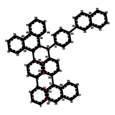 c1ccc(-c2ccc(-c3c(N(c4ccc(-c5ccc6ccccc6c5)cc4)c4ccc(-c5cccc6ccccc56)cc4)c4ccccc4c4ccccc34)cc2)cc1